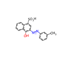 Cc1cccc(/N=N/c2cc(S(=O)(=O)O)c3ccccc3c2O)c1